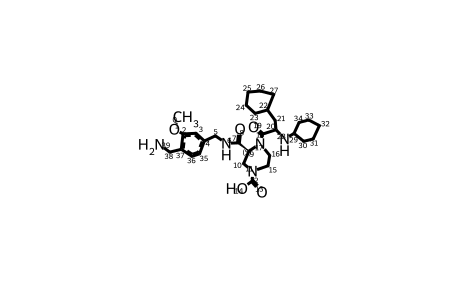 COc1cc(CNC(=O)[C@@H]2CN(C(=O)O)CCN2C(=O)C(CC2CCCCC2)NC2CCCCC2)ccc1CN